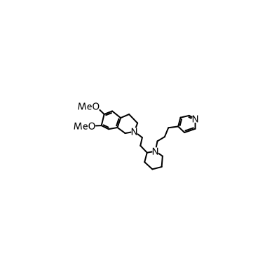 COc1cc2c(cc1OC)CN(CCC1CCCCN1CCCc1ccncc1)CC2